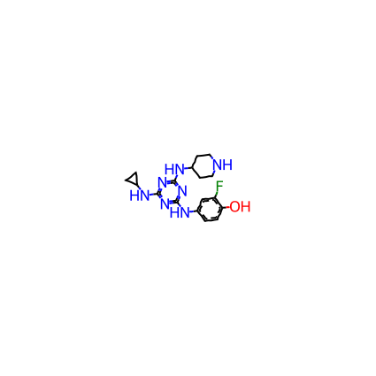 Oc1ccc(Nc2nc(NC3CCNCC3)nc(NC3CC3)n2)cc1F